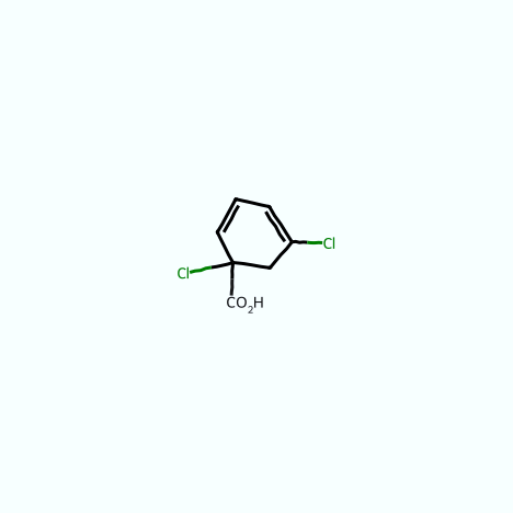 O=C(O)C1(Cl)C=CC=C(Cl)C1